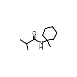 CC(C)C(=O)NC1(C)CCCCC1